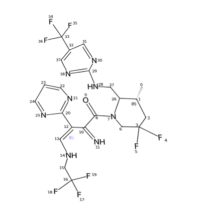 C[C@@H]1CC(F)(F)CN(C(=O)C(=N)/C(=C\NCC(F)(F)F)c2ncccn2)C1CNc1ncc(C(F)(F)F)cn1